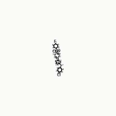 O=S(=O)(c1ccc(F)cc1)N1CCN(c2nc(Cc3ccc(Cl)cc3)ns2)CC1